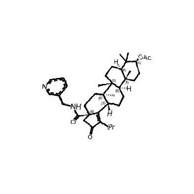 CC(=O)O[C@H]1CC[C@]2(C)[C@H]3CC[C@@H]4C5=C(C(C)C)C(=O)C[C@]5(C(=O)NCc5cccnc5)CC[C@@]4(C)[C@]3(C)CC[C@H]2C1(C)C